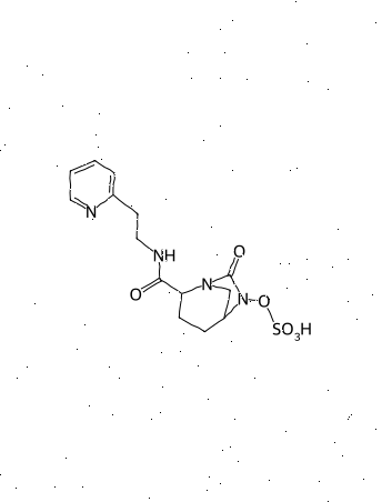 O=C(NCCc1ccccn1)C1CCC2CN1C(=O)N2OS(=O)(=O)O